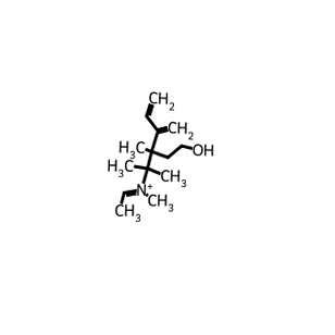 C=CC(=C)C(C)(CCO)C(C)(C)/[N+](C)=C/C